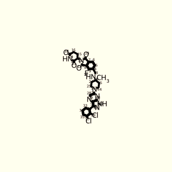 CC1(NCc2ccc3c(c2F)C(=O)N(C2CCC(=O)NC2=O)C3=O)CCN(c2cnc3c(-c4cccc(Cl)c4Cl)n[nH]c3n2)CC1